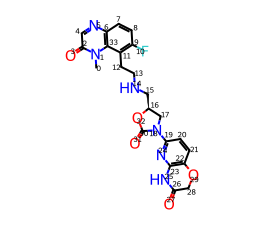 Cn1c(=O)cnc2ccc(F)c(CCNC[C@H]3CN(c4ccc5c(n4)NC(=O)CO5)C(=O)O3)c21